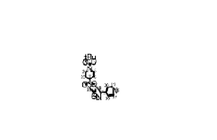 CC(C)(C)OC(=O)N1CCC(S(=O)(=O)Cc2nc(-c3ccncc3)no2)CC1